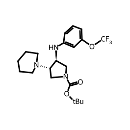 CC(C)(C)OC(=O)N1C[C@H](Nc2cccc(OC(F)(F)F)c2)[C@@H](N2CCCCC2)C1